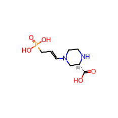 O=C(O)[C@@H]1CN(C=CCP(=O)(O)O)CCN1